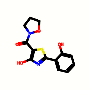 O=C(c1sc(-c2ccccc2O)nc1O)N1CCCO1